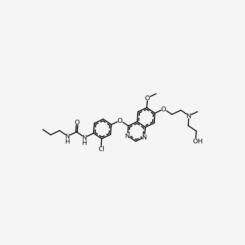 CCCNC(=O)Nc1ccc(Oc2ncnc3cc(OCCN(C)CCO)c(OC)cc23)cc1Cl